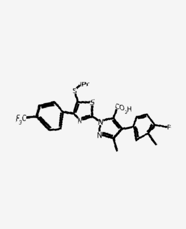 Cc1cc(-c2c(C)nn(-c3nc(-c4ccc(C(F)(F)F)cc4)c(SC(C)C)s3)c2C(=O)O)ccc1F